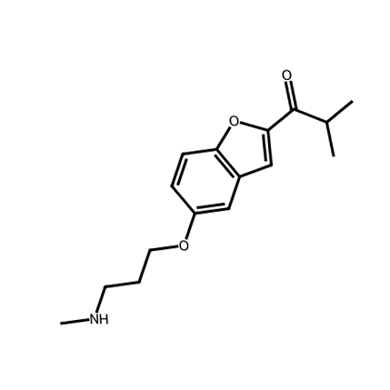 CNCCCOc1ccc2oc(C(=O)C(C)C)cc2c1